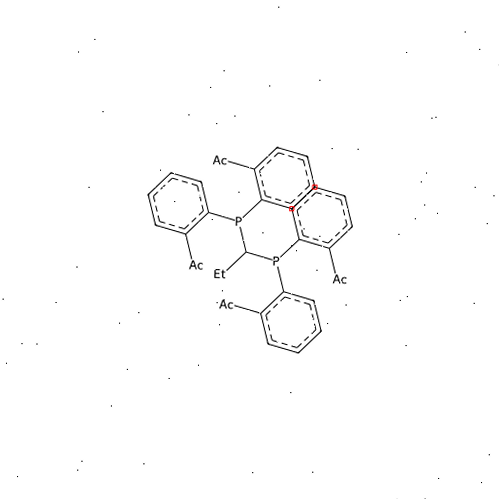 CCC(P(c1ccccc1C(C)=O)c1ccccc1C(C)=O)P(c1ccccc1C(C)=O)c1ccccc1C(C)=O